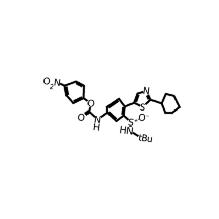 CC(C)(C)N[S+]([O-])c1cc(NC(=O)Oc2ccc([N+](=O)[O-])cc2)ccc1-c1cnc(C2CCCCC2)s1